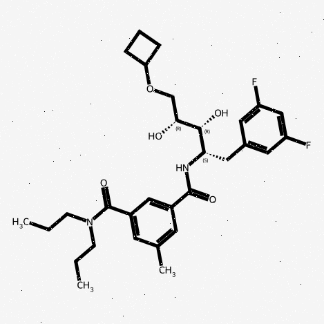 CCCN(CCC)C(=O)c1cc(C)cc(C(=O)N[C@@H](Cc2cc(F)cc(F)c2)[C@@H](O)[C@H](O)COC2CCC2)c1